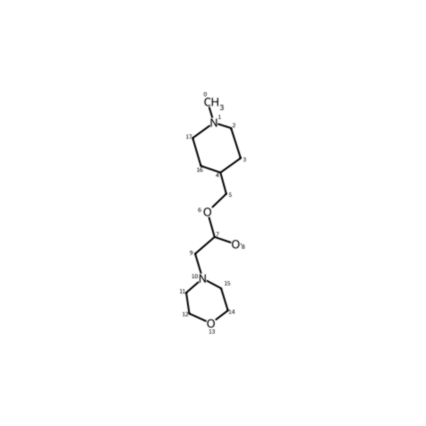 CN1CCC(COC([O])CN2CCOCC2)CC1